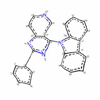 c1ccc(-c2nc(-n3c4ccccc4c4ccccc43)c3cnccc3n2)cc1